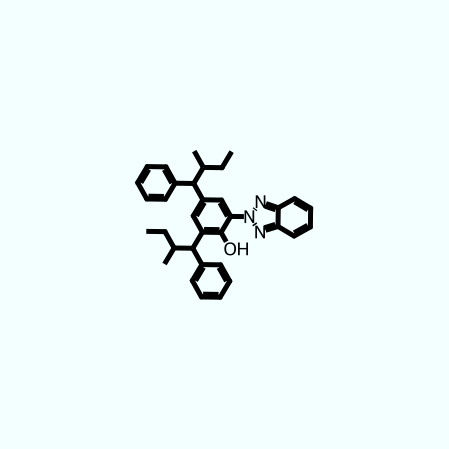 CCC(C)C(c1ccccc1)c1cc(C(c2ccccc2)C(C)CC)c(O)c(-n2nc3ccccc3n2)c1